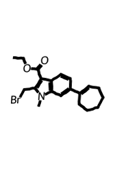 CCOC(=O)c1c(CBr)n(C)c2cc(C3=CCCCCC3)ccc12